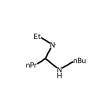 CCCCNC(CCC)[N]CC